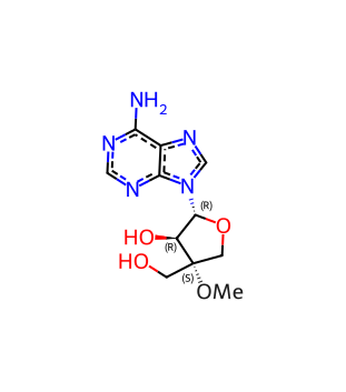 CO[C@@]1(CO)CO[C@@H](n2cnc3c(N)ncnc32)[C@@H]1O